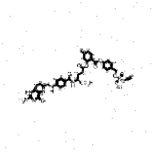 C#COP(=O)(OCC)OCc1ccc(OC(=O)c2ccc(C)cc2OC(=O)CC[C@H](NC(=O)c2ccc(NCc3cnc4[nH]c(N)nc(=O)c4n3)cc2)C(=O)O)cc1